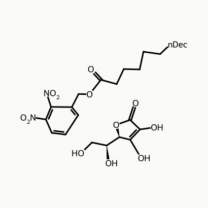 CCCCCCCCCCCCCCCC(=O)OCc1cccc([N+](=O)[O-])c1[N+](=O)[O-].O=C1O[C@H]([C@@H](O)CO)C(O)=C1O